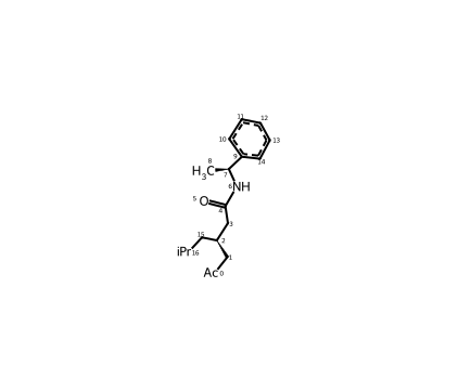 CC(=O)C[C@H](CC(=O)N[C@@H](C)c1ccccc1)CC(C)C